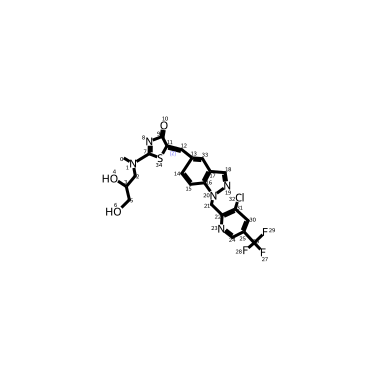 CN(CC(O)CO)C1=NC(=O)/C(=C/c2ccc3c(cnn3Cc3ncc(C(F)(F)F)cc3Cl)c2)S1